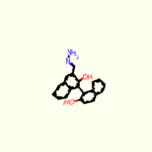 N/N=C/c1cc2ccccc2c(-c2c(O)ccc3ccccc23)c1O